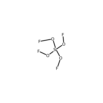 FO[Si](OF)(OF)OF